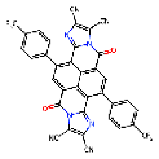 N#Cc1nc2c3c(-c4ccc(C(F)(F)F)cc4)cc4c(=O)n5c(C#N)c(C#N)nc5c5c(-c6ccc(C(F)(F)F)cc6)cc(c(=O)n2c1C#N)c3c45